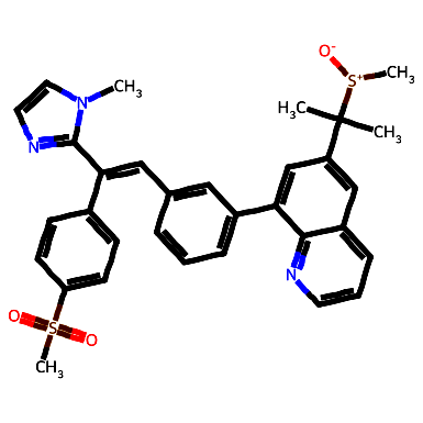 Cn1ccnc1C(=Cc1cccc(-c2cc(C(C)(C)[S+](C)[O-])cc3cccnc23)c1)c1ccc(S(C)(=O)=O)cc1